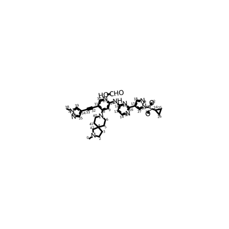 CN1CCC2(CCN(c3cc(Nc4ccnc(-c5cnn(S(=O)(=O)C6CC6)c5)n4)ncc3C#Cc3cnn(C)c3)CC2)C1.O=CO